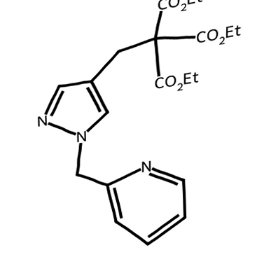 CCOC(=O)C(Cc1cnn(Cc2ccccn2)c1)(C(=O)OCC)C(=O)OCC